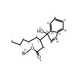 CCCCCC(CC(=O)OBr)C1(O)C=Nc2ccccc21